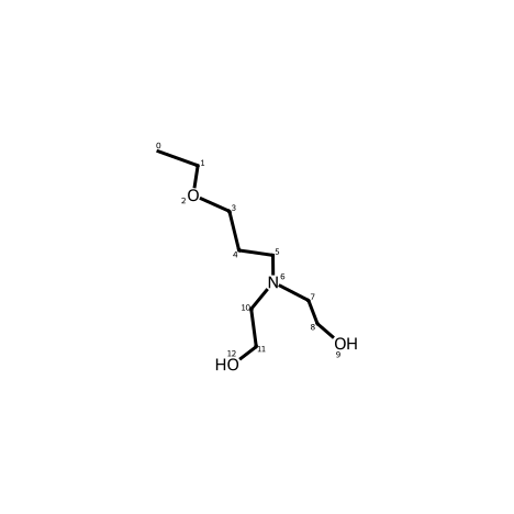 CCOCCCN(CCO)CCO